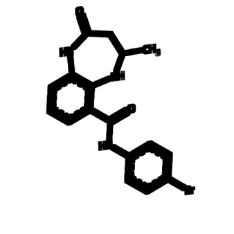 CC1CC(=O)Nc2cccc(C(=O)Nc3ccc(Br)cc3)c2N1